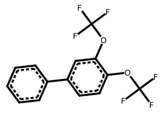 FC(F)(F)Oc1ccc(-c2c[c]ccc2)cc1OC(F)(F)F